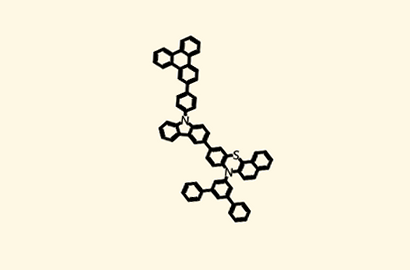 c1ccc(-c2cc(-c3ccccc3)cc(N3c4ccc(-c5ccc6c(c5)c5ccccc5n6-c5ccc(-c6ccc7c8ccccc8c8ccccc8c7c6)cc5)cc4Sc4c3ccc3ccccc43)c2)cc1